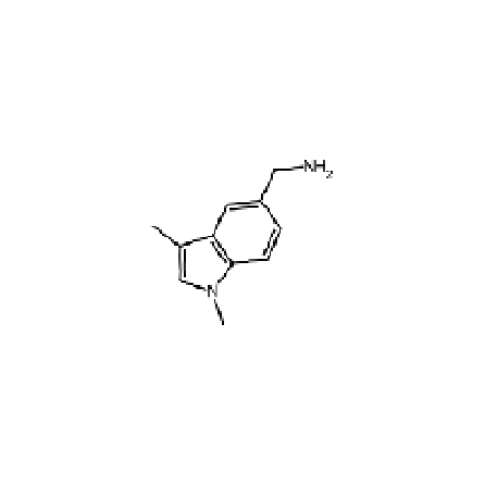 Cc1cn(C)c2ccc(CN)cc12